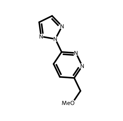 COCc1ccc(-n2nccn2)nn1